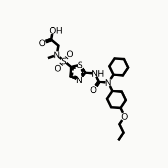 CCCOC1CCC(N(C(=O)Nc2ncc(S(=O)(=O)N(C)CC(=O)O)s2)C2CCCCC2)CC1